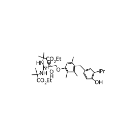 CCOC(=O)C(C)(C)NN(NC(C)(C)C(=O)OCC)P(=O)(O)COc1cc(C)c(Cc2ccc(O)c(C(C)C)c2)c(C)c1C